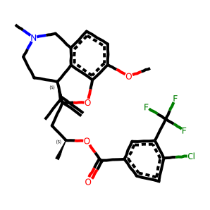 C=C(C)[C@@]12CCN(C)Cc3ccc(OC)c(c31)OC2C[C@H](C)OC(=O)c1ccc(Cl)c(C(F)(F)F)c1